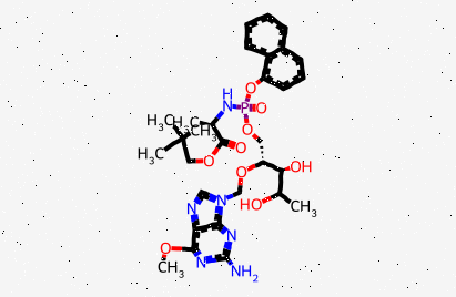 COc1nc(N)nc2c1ncn2CO[C@H](COP(=O)(N[C@H](C)C(=O)OCC(C)(C)C)Oc1cccc2ccccc12)[C@@H](O)C(C)O